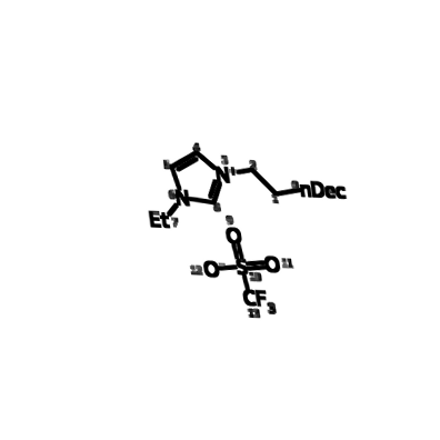 CCCCCCCCCCCC[n+]1ccn(CC)c1.O=S(=O)([O-])C(F)(F)F